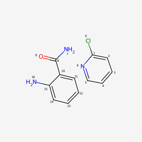 Clc1ccccn1.NC(=O)c1ccccc1N